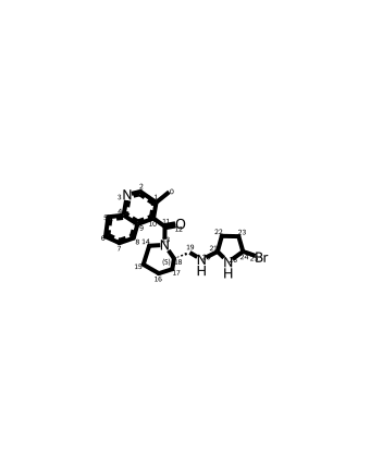 Cc1cnc2ccccc2c1C(=O)N1CCCC[C@H]1CNC1CCC(Br)N1